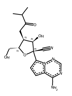 CC(C)C(=O)C[C@H]1[C@@H](O)[C@](C#N)(c2ccc3c(N)ncnn23)O[C@@H]1CO